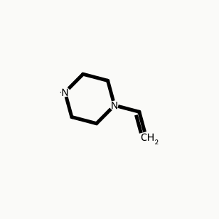 C=CN1CC[N]CC1